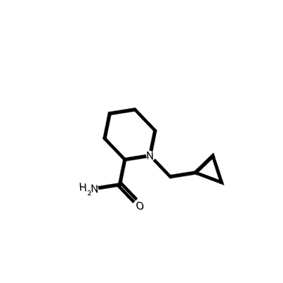 NC(=O)C1CCCCN1CC1CC1